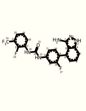 Nc1n[nH]c2cccc(-c3ccc(NC(=O)Nc4cccc(C(F)(F)F)c4F)cc3F)c12